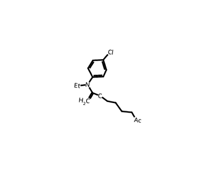 C=C(CCCCCC(C)=O)N(CC)c1ccc(Cl)cc1